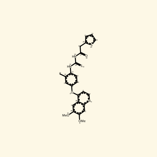 COc1cc2nccc(Oc3ccc(NC(=S)NC(=O)Cc4cccs4)c(C)c3)c2cc1OC